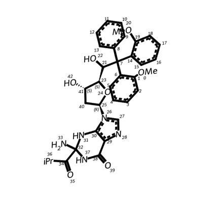 COc1ccccc1C(c1ccccc1)(c1ccccc1OC)C(O)[C@H]1O[C@@H](n2cnc3c2NC(N)(C(=O)C(C)C)NC3=O)C[C@@H]1O